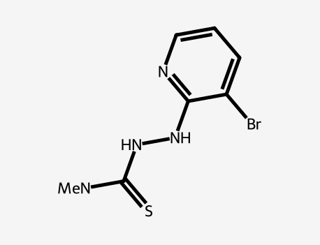 CNC(=S)NNc1ncccc1Br